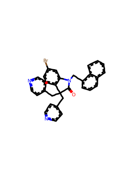 O=C1N(Cc2cccc3ccccc23)c2cc(Br)ccc2C1(Cc1ccncc1)Cc1ccncc1